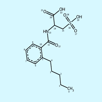 CCCCCc1ccccc1C(=O)NC(CS(=O)(=O)O)C(=O)O